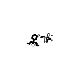 CCCC(O)(CCC)c1cccc(SCCNC(=O)C(F)(F)F)c1